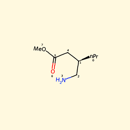 CCC[C@@H](CN)CC(=O)OC